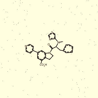 CN(c1cscn1)C(Cc1ccccc1)C(=O)N1CCc2c(C(=O)O)cc(-c3ccncc3)cc21